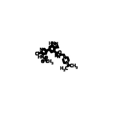 CC(C)N1CCN(Cc2nnc(-c3cc(-c4cnc(Cl)c(NS(C)(=O)=O)c4)cc4[nH]ncc34)o2)CC1